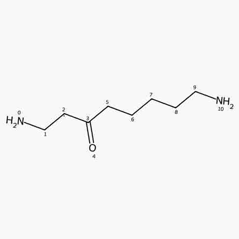 NC[CH]C(=O)CCCCCN